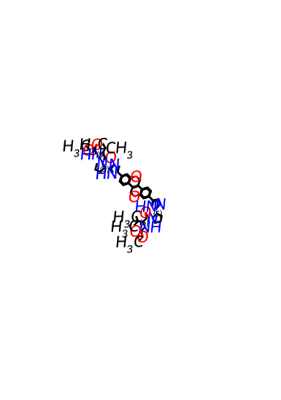 COC(=O)N[C@H](C(=O)N1CCC[C@H]1c1ncc(-c2ccc3c(c2)OCC2=C3COc3cc(-c4cnc([C@@H]5CCCN5C(=O)[C@@H](NC(=O)OC)C(C)C)[nH]4)ccc32)[nH]1)C(C)C